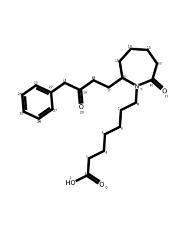 O=C(O)CCCCCCN1C(=O)CCCCC1CCC(=O)Cc1ccccc1